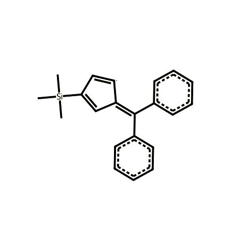 C[Si](C)(C)C1=CC(=C(c2ccccc2)c2ccccc2)[C]=C1